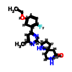 CCOc1ccc(F)c(-c2cc(C)nc([C@@H]3CCC4(CCNC(=O)C4)N3)n2)c1